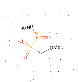 COCS(=O)(=O)[PH](=O)NC(C)=O